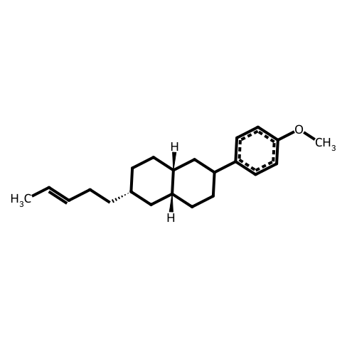 CC=CCC[C@@H]1CC[C@@H]2CC(c3ccc(OC)cc3)CC[C@@H]2C1